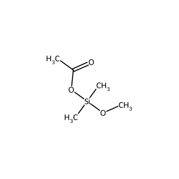 CO[Si](C)(C)OC(C)=O